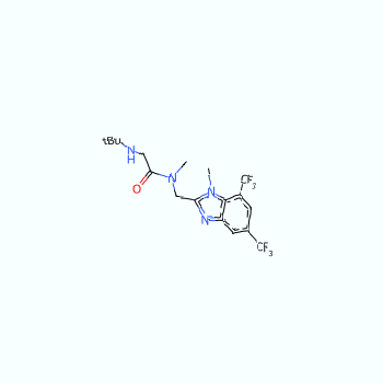 CN(Cc1nc2cc(C(F)(F)F)cc(C(F)(F)F)c2n1C)C(=O)CNC(C)(C)C